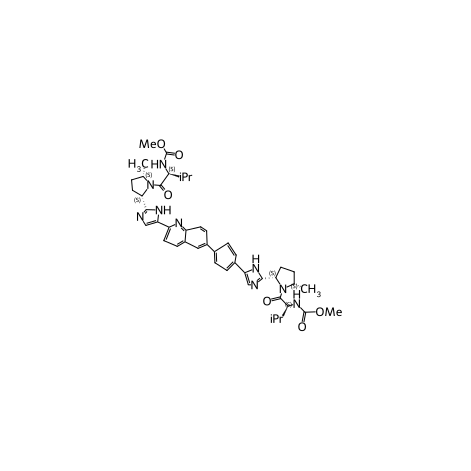 COC(=O)N[C@H](C(=O)N1[C@@H](C)CC[C@H]1c1ncc(-c2ccc(-c3ccc4nc(-c5cnc([C@@H]6CC[C@H](C)N6C(=O)[C@@H](NC(=O)OC)C(C)C)[nH]5)ccc4c3)cc2)[nH]1)C(C)C